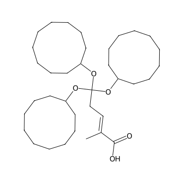 CC(=CCC(OC1CCCCCCCCC1)(OC1CCCCCCCCC1)OC1CCCCCCCCC1)C(=O)O